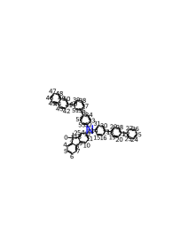 CC1(C)c2ccccc2-c2ccc(N(c3ccc(-c4ccc(-c5ccccc5)cc4)cc3)c3ccc(-c4cccc(-c5ccc6ccccc6c5)c4)cc3)cc21